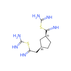 N=C(N)SC(=N)C[C@@H]1CC[C@H](C(=N)SC(=N)N)C1